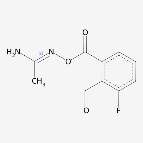 C/C(N)=N\OC(=O)c1cccc(F)c1C=O